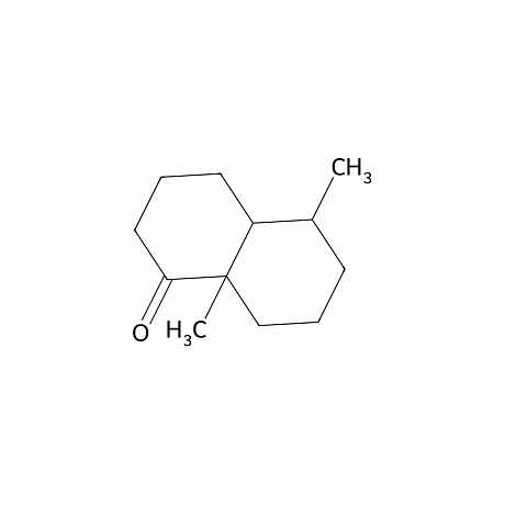 CC1CCCC2(C)C(=O)CCCC12